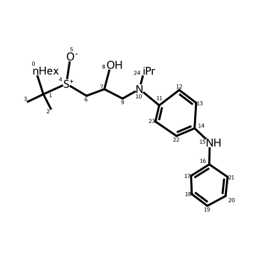 CCCCCCC(C)(C)[S+]([O-])CC(O)CN(c1ccc(Nc2ccccc2)cc1)C(C)C